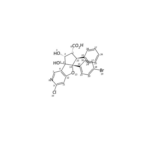 O=C(O)[C@H]1[C@@H](O)C2(O)c3cnc(Cl)cc3O[C@@]2(c2ccc(Br)cc2)[C@@H]1c1ccccc1